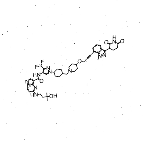 Cn1nc(C2CCC(=O)NC2=O)c2cccc(C#CCOC3CCN(CC4CCC(n5cc(NC(=O)c6cnn7ccc(NCCC(C)(C)O)nc67)c(C(F)F)n5)CC4)CC3)c21